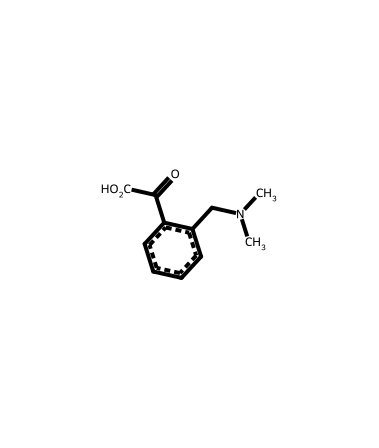 CN(C)Cc1ccccc1C(=O)C(=O)O